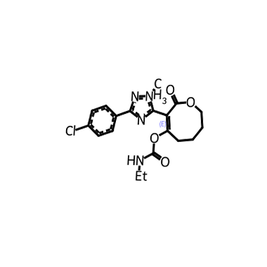 CCNC(=O)O/C1=C(\c2nc(-c3ccc(Cl)cc3)nn2C)C(=O)OCCCC1